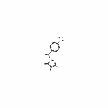 CC(c1ccc(S(C)(=O)=O)cc1)n1sc(Cl)c(Cl)c1=O